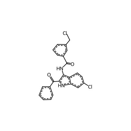 O=C(Nc1c(C(=O)c2ccccc2)[nH]c2cc(Cl)ccc12)c1cccc(CCl)c1